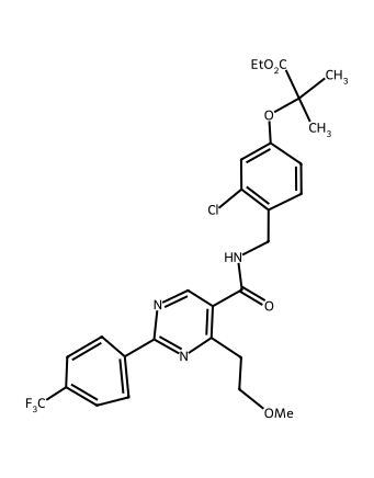 CCOC(=O)C(C)(C)Oc1ccc(CNC(=O)c2cnc(-c3ccc(C(F)(F)F)cc3)nc2CCOC)c(Cl)c1